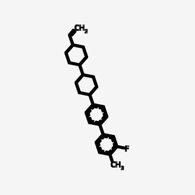 C=CC1CCC(C2CCC(c3ccc(-c4ccc(C)c(F)c4)cc3)CC2)CC1